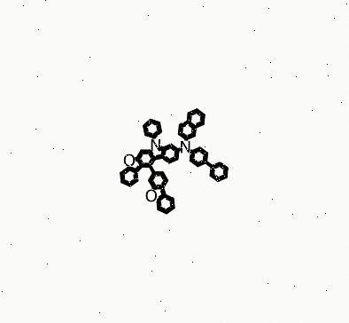 c1ccc(-c2ccc(N(c3ccc4ccccc4c3)c3ccc4c5c(-c6ccc7c(c6)oc6ccccc67)c6c(cc5n(-c5ccccc5)c4c3)oc3ccccc36)cc2)cc1